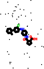 Cc1ccccc1-c1ccc(Nc2ccc(NC(=O)C3=C(C(=O)O)CCC3)cc2)c(Cl)c1